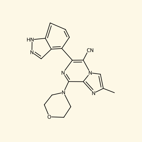 Cc1cn2c(C#N)c(-c3cccc4[nH]ncc34)nc(N3CCOCC3)c2n1